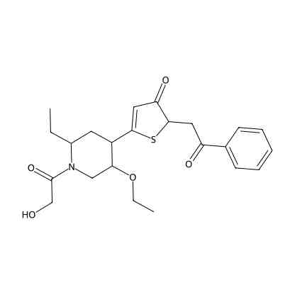 CCOC1CN(C(=O)CO)C(CC)CC1C1=CC(=O)C(CC(=O)c2ccccc2)S1